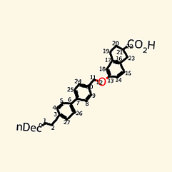 CCCCCCCCCCCCc1ccc(-c2ccc(COc3ccc4c(c3)CCC(C(=O)O)C4)cc2)cc1